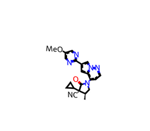 COc1cnc(-c2cc3c(N4C[C@@H](C)[C@@](C#N)(C5CC5)C4=O)ccnn3c2)nc1